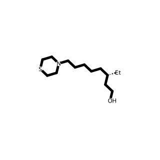 CC[C@H](CCO)CCCCCN1CCSCC1